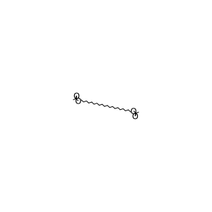 CC(=O)OCCCCCCCCCCCCCCCCCCCCOC(C)=O